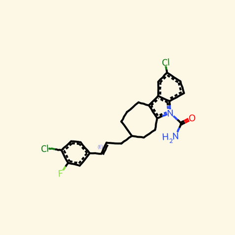 NC(=O)n1c2c(c3cc(Cl)ccc31)CCCC(C/C=C/c1ccc(Cl)c(F)c1)CC2